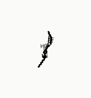 CCCCCCCCc1cnc(-c2ccc(OCC(O)COCC(F)(F)C(F)(F)C(F)(F)COCCCC)cc2)nc1